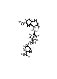 COc1ccc2ncc(F)c(CCC34CCC(NCc5cnc(N(C)C)nc5)(CC3)CO4)c2n1